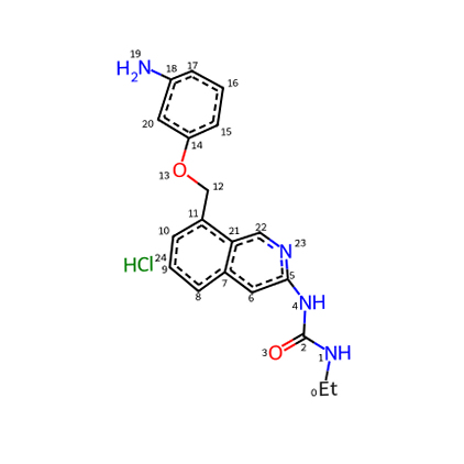 CCNC(=O)Nc1cc2cccc(COc3cccc(N)c3)c2cn1.Cl